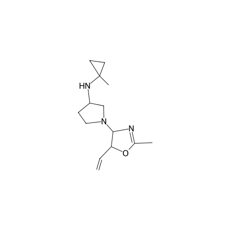 C=CC1OC(C)=NC1N1CCC(NC2(C)CC2)C1